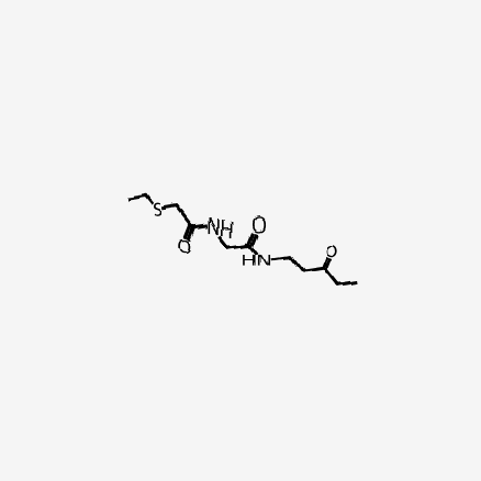 CCSCC(=O)NCC(=O)NCCC(=O)CC